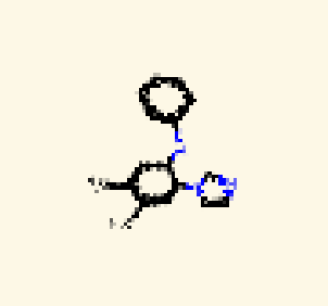 Cc1cc(Nc2ccccc2)c(-n2ccnc2)cc1C